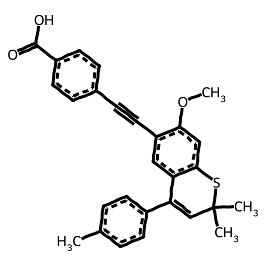 COc1cc2c(cc1C#Cc1ccc(C(=O)O)cc1)C(c1ccc(C)cc1)=CC(C)(C)S2